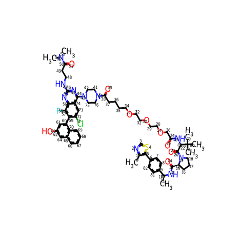 Cc1ncsc1-c1ccc([C@H](C)NC(=O)[C@@H]2CCCN2C(=O)[C@@H](NC(=O)COCCOCCOCCCCC(=O)N2CCN(c3nc(NCCC(=O)N(C)C)nc4c(F)c(-c5cc(O)cc6ccccc56)c(Cl)cc34)CC2)C(C)(C)C)cc1